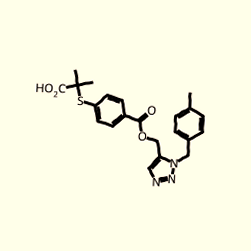 Cc1ccc(Cn2nncc2COC(=O)c2ccc(SC(C)(C)C(=O)O)cc2)cc1